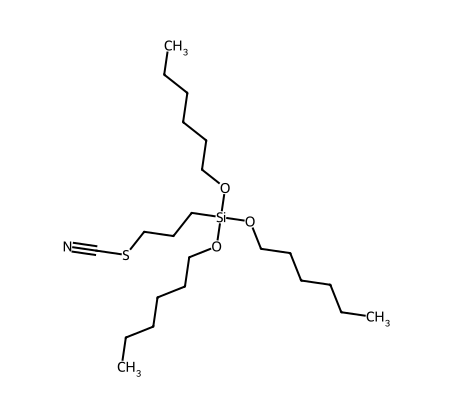 CCCCCCO[Si](CCCSC#N)(OCCCCCC)OCCCCCC